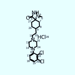 CN(C)C1(C(N)=O)CCC(CCN2CCN(c3cccc(Cl)c3Cl)CC2)CC1.Cl